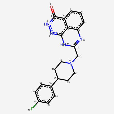 O=c1[nH]nc2c3c(cccc13)N=C(CN1CCC(c3ccc(F)cc3)CC1)N2